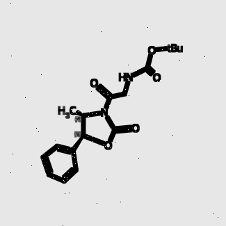 C[C@@H]1[C@H](c2ccccc2)OC(=O)N1C(=O)CNC(=O)OC(C)(C)C